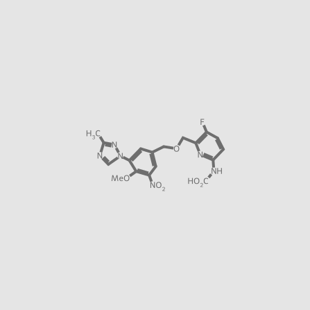 COc1c(-n2cnc(C)n2)cc(COCc2nc(NC(=O)O)ccc2F)cc1[N+](=O)[O-]